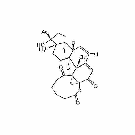 CC(=O)[C@@]1(O)CC[C@H]2[C@@H]3C=C(Cl)C4=CC(=O)[C@]56C[C@]5(C(=O)CCCCC(=O)O6)[C@]4(C)[C@H]3CC[C@@]21C